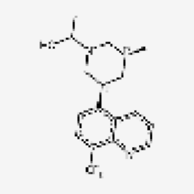 CC(O)N1C[C@@H](C)C[C@@H](c2ccc(C(F)(F)F)c3ncccc23)C1